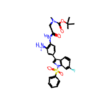 CN(CC(=O)Nc1ccc(-c2cn(S(=O)(=O)c3ccccc3)c3cc(F)ccc23)cc1N)C(=O)OC(C)(C)C